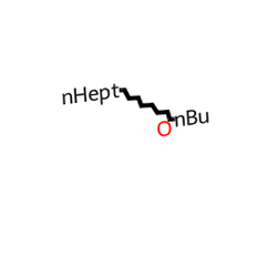 CCCCCCCCCCCCCCC(=O)CCCC